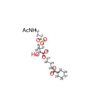 CC(=O)NCCCS(=O)(=O)OCC(C)(C)[C@@H](O)C(=O)OCCCCOC(=O)C1CCCCC1